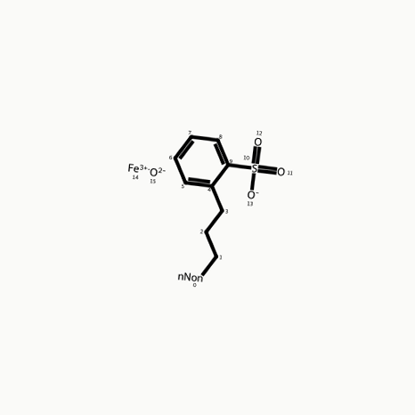 CCCCCCCCCCCCc1ccccc1S(=O)(=O)[O-].[Fe+3].[O-2]